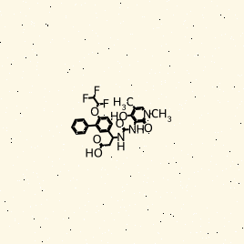 Cc1cn(C)c(=O)c(NC(=O)NC(CC(=O)O)c2ccc(OC(F)C(F)F)c(-c3ccccc3)c2)c1O